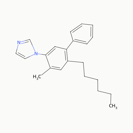 CCCCCCc1cc(C)c(-n2ccnc2)cc1-c1ccccc1